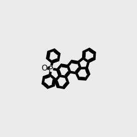 O=P(c1ccccc1)(c1ccccc1)c1cc2cc3c4c(cccc4c2c2ccccc12)-c1ccccc1-3